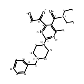 CCN(CC)C(=O)c1c(C)nc(N2CCN(Cc3ccccc3)CC2)nc1C(=O)[C]=O